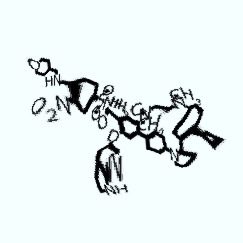 CN(C)CCN(C)c1ccc(C2CC2)c(C2CCCN2C2CC=C(c3ccc(C(=O)NS(=O)(=O)c4ccc(NCC5CCOCC5)c([N+](=O)[O-])c4)c(Oc4cnc5[nH]ccc5c4)c3)CC2)c1